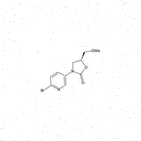 COC[C@@H]1CN(c2ccc(Br)nc2)C(=O)O1